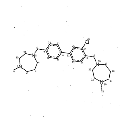 CN1CCCN(Cc2ccc(-c3ccc(CN4CCCN(C)CC4)c(Cl)c3)cc2)CC1